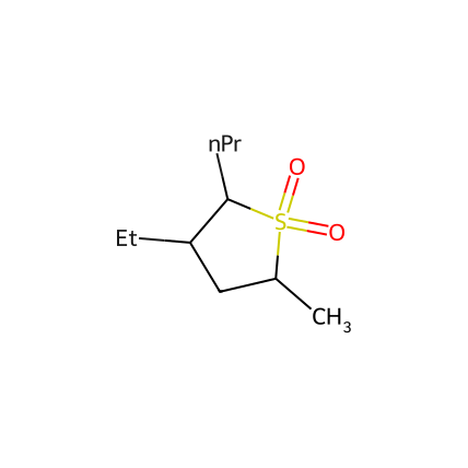 CCCC1C(CC)CC(C)S1(=O)=O